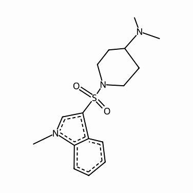 CN(C)C1CCN(S(=O)(=O)c2cn(C)c3ccccc23)CC1